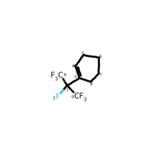 FC(F)(F)C(F)(C1=CCCCC1)C(F)(F)F